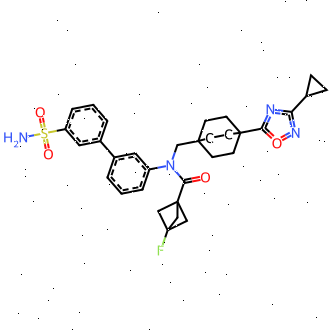 NS(=O)(=O)c1cccc(-c2cccc(N(CC34CCC(c5nc(C6CC6)no5)(CC3)CC4)C(=O)C34CC(F)(C3)C4)c2)c1